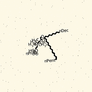 CCCCC/C=C\C/C=C/CCCCCCCC1(CCCCCCCCCCCCCCCCCC)OC[C@H](C(C)(C)C(C)(C)N(C)CCOP(=O)(O)OCCC)O1